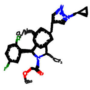 CC(C)(C)OC(=O)N1C(c2cc(F)ccc2Cl)c2c(cc(-c3cnn(C4CC4)c3)cc2[N+](=O)[O-])C1C(F)(F)F